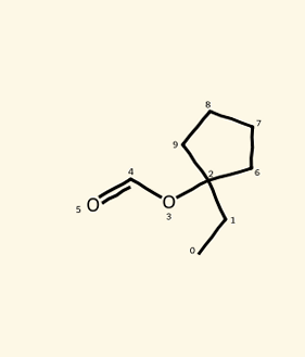 CCC1(OC=O)CCCC1